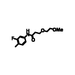 COCCOCCC(=O)Nc1ccc(C)c(F)c1